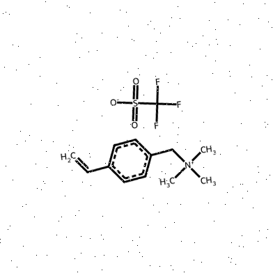 C=Cc1ccc(C[N+](C)(C)C)cc1.O=S(=O)([O-])C(F)(F)F